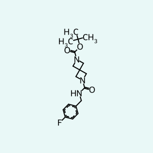 CC(C)(C)OC(=O)N1CC2(CN(C(=O)NCc3ccc(F)cc3)C2)C1